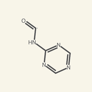 O=[C]Nc1ncncn1